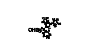 O=COCC(c1ccncc1)c1cc(-c2cccs2)n2c1CCC2